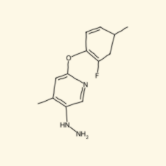 Cc1cc(OC2=C(F)CC(C)C=C2)ncc1NN